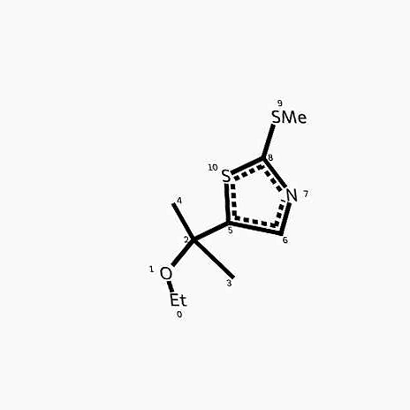 CCOC(C)(C)c1cnc(SC)s1